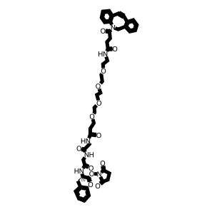 O=C(CCC(=O)N1Cc2ccccc2C#Cc2ccccc21)NCCOCCOCCOCCOCCC(=O)NCC(=O)NCC(=O)N[C@@H](Cc1ccccc1)C(=O)ON1C(=O)CCC1=O